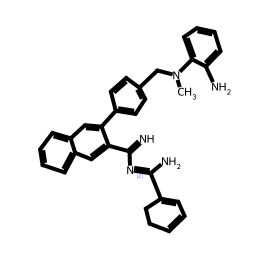 CN(Cc1ccc(-c2cc3ccccc3cc2C(=N)/N=C(\N)C2=CC=CCC2)cc1)c1ccccc1N